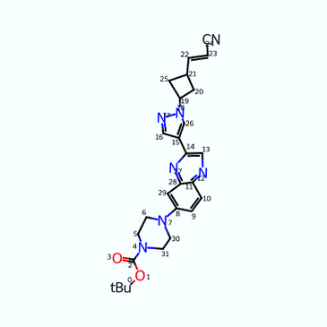 CC(C)(C)OC(=O)N1CCN(c2ccc3ncc(-c4cnn(C5CC(C=CC#N)C5)c4)nc3c2)CC1